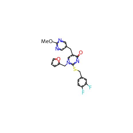 COc1ncc(Cc2cn(Cc3ccco3)c(SCc3ccc(F)c(F)c3)nc2=O)cn1